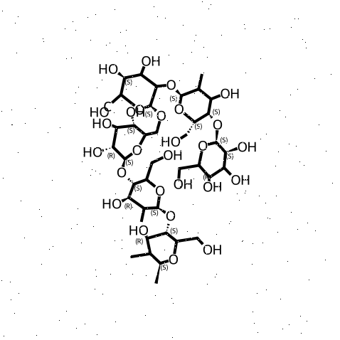 CC1C(O)[C@H](O[C@@H]2OC(CO)[C@H](O)C(O)[C@@H]2O)[C@H](CO)O[C@H]1OC1C(O)[C@H](O)C(CO)O[C@@H]1OCC1O[C@@H](O[C@@H]2C(CO)O[C@@H](O[C@@H]3C(CO)O[C@@H](C)C(C)[C@H]3O)C(C)[C@H]2O)[C@H](O)C(O)[C@@H]1O